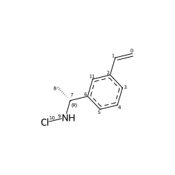 C=Cc1cccc([C@@H](C)NCl)c1